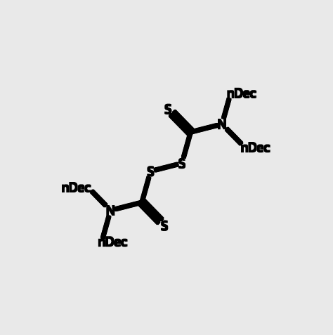 CCCCCCCCCCN(CCCCCCCCCC)C(=S)SSC(=S)N(CCCCCCCCCC)CCCCCCCCCC